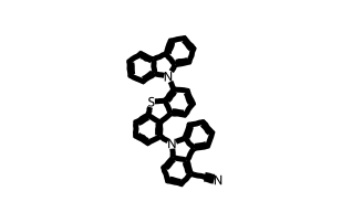 N#Cc1cccc2c1c1ccccc1n2-c1cccc2sc3c(-n4c5ccccc5c5ccccc54)cccc3c12